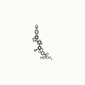 CC(O)C(=O)N1CC[C@H](Oc2ccc(-c3ncnc(Nc4ccc(N5CCN(C6COC6)CC5)cc4F)n3)cc2C#N)[C@H](F)C1